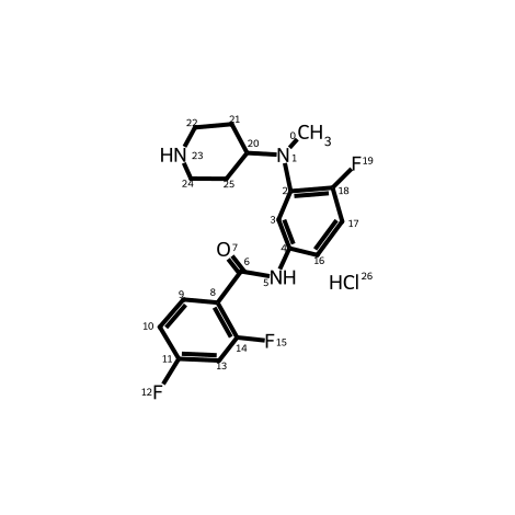 CN(c1cc(NC(=O)c2ccc(F)cc2F)ccc1F)C1CCNCC1.Cl